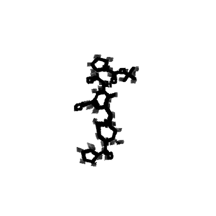 Cc1c(CN2CCN(C(=O)C3CCCC3)[C@@H](C)C2)cc(Cl)cc1NC(=O)[C@@H]1CCCN1C(=O)OC(C)(C)C